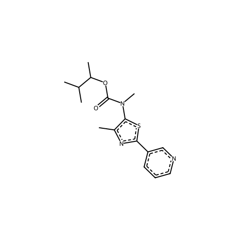 Cc1nc(-c2cccnc2)sc1N(C)C(=O)OC(C)C(C)C